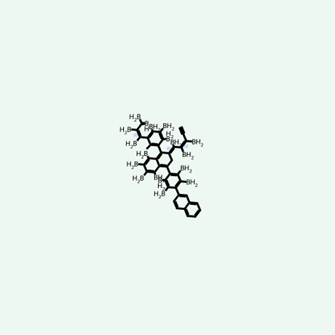 B=C(B)/C(B)=C(/B)c1c(B)c(B)c(B)c(C2=c3c(B)c(B)c(B)c(B)c3=C(c3c(B)c(B)c(-c4ccc5ccccc5c4)c(B)c3B)C/C2=C(B)\C(B)=C(\B)C#C)c1C